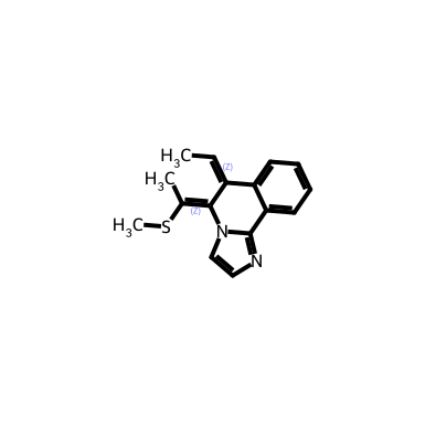 C/C=c1\c(=C(/C)SC)n2ccnc2c2ccccc12